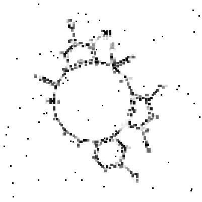 O=C1NCCOc2ccc(Cl)cc2-c2cc(c(F)cc2F)NS(=O)(=O)c2cc1cc(Cl)c2O